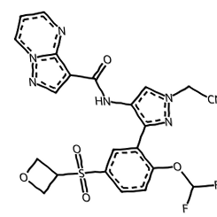 N#CCn1cc(NC(=O)c2cnn3cccnc23)c(-c2cc(S(=O)(=O)C3COC3)ccc2OC(F)F)n1